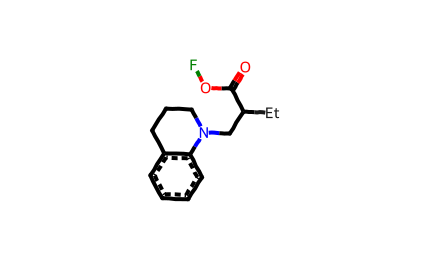 CCC(CN1CCCc2ccccc21)C(=O)OF